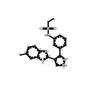 CCS(=O)(=O)Nc1cccc(-c2n[nH]cc2-c2nc3ccc(C)cc3o2)c1